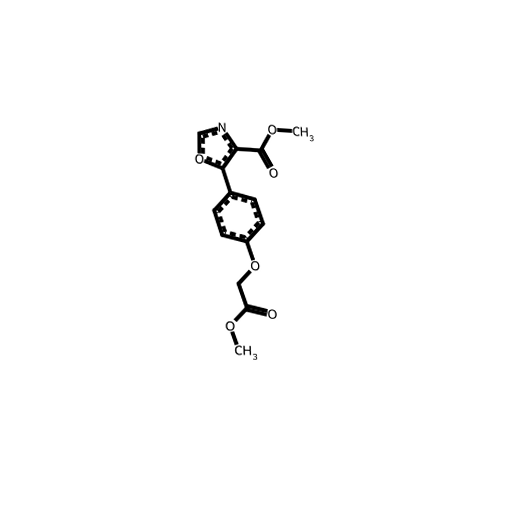 COC(=O)COc1ccc(-c2ocnc2C(=O)OC)cc1